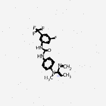 C=N/C(=C\C)N(C)c1ccc(NC(=O)Nc2cc(F)cc(C(F)(F)F)c2)cc1